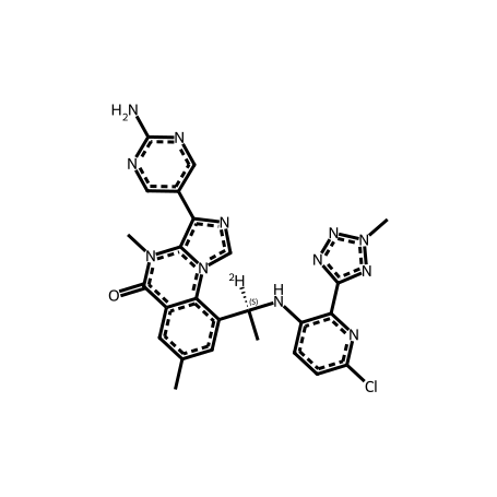 [2H][C@@](C)(Nc1ccc(Cl)nc1-c1nnn(C)n1)c1cc(C)cc2c(=O)n(C)c3c(-c4cnc(N)nc4)ncn3c12